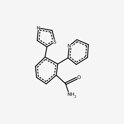 NC(=O)c1cccc(-c2cncs2)c1-c1ccccn1